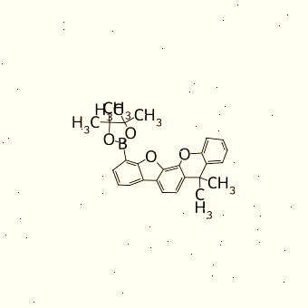 CC1(C)c2ccccc2Oc2c1ccc1c2oc2c(B3OC(C)(C)C(C)(C)O3)cccc21